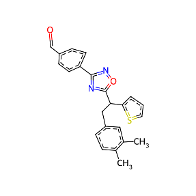 Cc1ccc(CC(c2nc(-c3ccc(C=O)cc3)no2)c2cccs2)cc1C